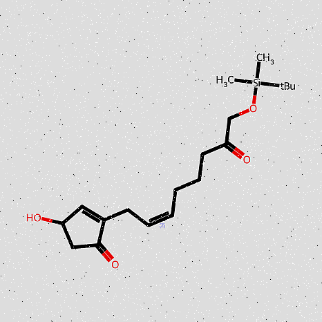 CC(C)(C)[Si](C)(C)OCC(=O)CCC/C=C\CC1=CC(O)CC1=O